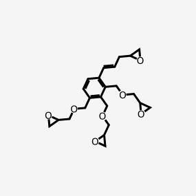 C(=Cc1ccc(COCC2CO2)c(COCC2CO2)c1COCC1CO1)CC1CO1